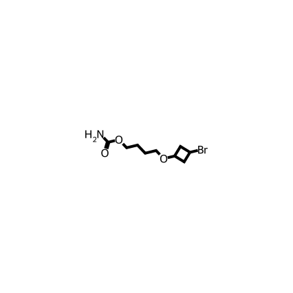 NC(=O)OCCCCOC1CC(Br)C1